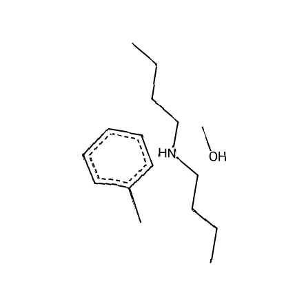 CCCCNCCCC.CO.Cc1ccccc1